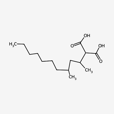 CCCCCCCC(C)CC(C)C(C(=O)O)C(=O)O